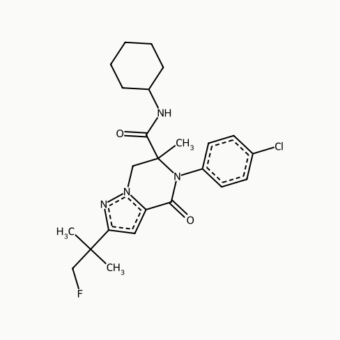 CC(C)(CF)c1cc2n(n1)CC(C)(C(=O)NC1CCCCC1)N(c1ccc(Cl)cc1)C2=O